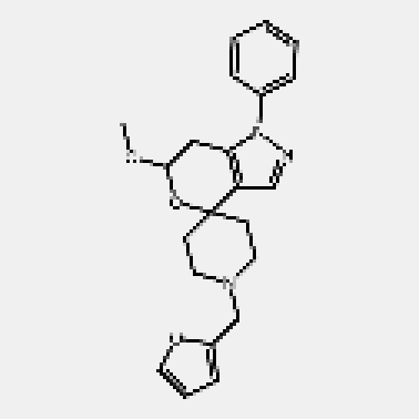 COC1Cc2c(cnn2-c2ccccc2)C2(CCN(Cc3ccco3)CC2)O1